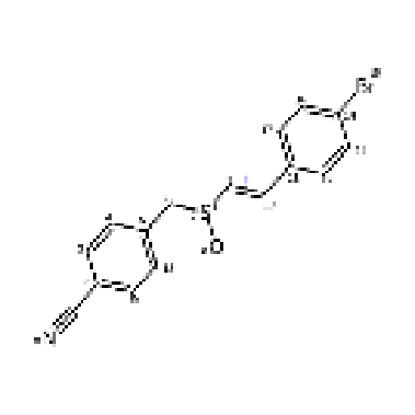 N#Cc1ccc(C[S+]([O-])/C=C/c2ccc(Br)cc2)cc1